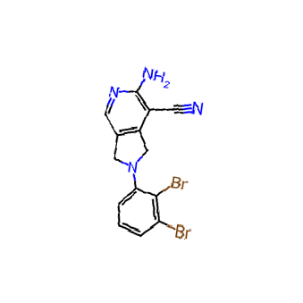 N#Cc1c(N)ncc2c1CN(c1cccc(Br)c1Br)C2